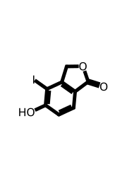 O=C1OCc2c1ccc(O)c2I